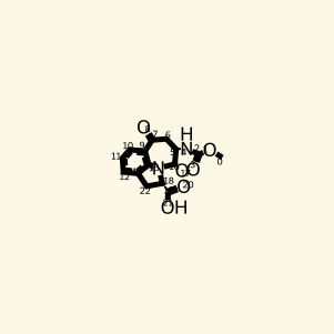 COC(=O)N[C@H]1CC(=O)c2cccc3c2N(C1=O)[C@H](C(=O)O)C3